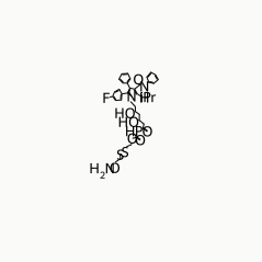 CC(C)c1c(C(=O)Nc2ccccc2)c(-c2ccccc2)c(-c2ccc(F)cc2)n1CC[C@@H](O)C[C@@H](O)CC(=O)PC(=O)OCCSSCCON